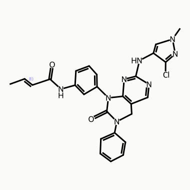 C/C=C/C(=O)Nc1cccc(N2C(=O)N(c3ccccc3)Cc3cnc(Nc4cn(C)nc4Cl)nc32)c1